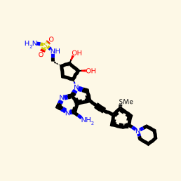 CSc1cc(N2CCCCC2)ccc1C#Cc1cn([C@@H]2C[C@H](CNS(N)(=O)=O)[C@@H](O)[C@H]2O)c2ncnc(N)c12